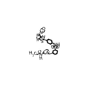 C=CC(=O)N[C@@H]1CCCN(Cc2cccc(S(=O)(=O)Nc3ccc(-c4nc5c(N6CCOCC6)ncnc5s4)cc3)c2)C1